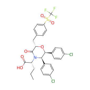 CCC[C@H](C(=O)O)N1C(=O)[C@H](Cc2ccc(S(=O)(=O)C(F)(F)F)cc2)O[C@@H](c2ccc(Cl)cc2)[C@H]1c1ccc(Cl)cc1